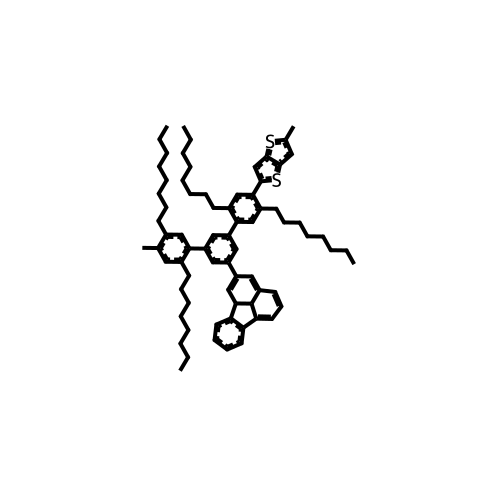 CCCCCCCCc1cc(-c2cc(C3=CC4c5ccccc5C5=CC=CC(=C3)C54)cc(-c3cc(CCCCCCCC)c(-c4cc5sc(C)cc5s4)cc3CCCCCCCC)c2)c(CCCCCCCC)cc1C